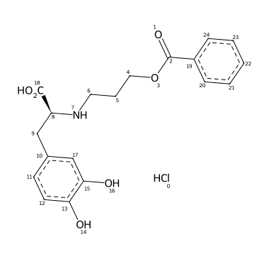 Cl.O=C(OCCCN[C@@H](Cc1ccc(O)c(O)c1)C(=O)O)c1ccccc1